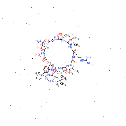 CC[C@H](C)[C@@H]1NC(=O)[C@@H](CCCNC(=N)N)NC(=O)[C@H](CC(C)C)NC(=O)[C@H]([C@H](O)C(C)C)NC(=O)[C@@H](NC(=O)[C@H](CC(C)(C)C)NC(=O)[C@H](N)CC(C)(C)C)[C@@H](c2ccccc2)OC(=O)[C@H](CO)NC(=O)[C@H]([C@H](O)C(N)=O)NC(=O)CNC(=O)[C@H]([C@H](C)O)NC1=O